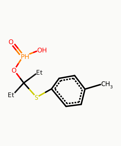 CCC(CC)(O[PH](=O)O)Sc1ccc(C)cc1